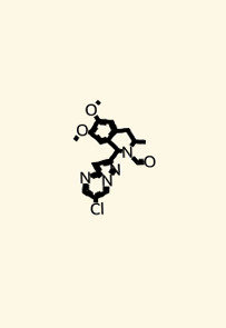 COc1cc2c(cc1OC)C(c1cc3ncc(Cl)cn3n1)N(C=O)C(C)C2